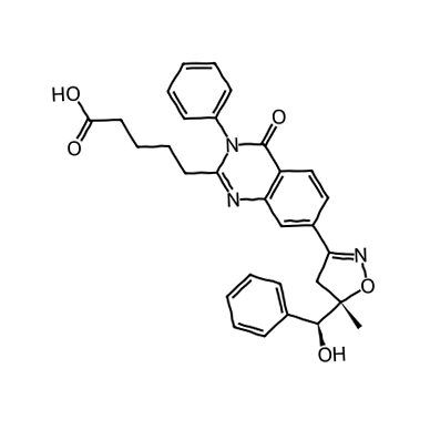 C[C@@]1([C@@H](O)c2ccccc2)CC(c2ccc3c(=O)n(-c4ccccc4)c(CCCCC(=O)O)nc3c2)=NO1